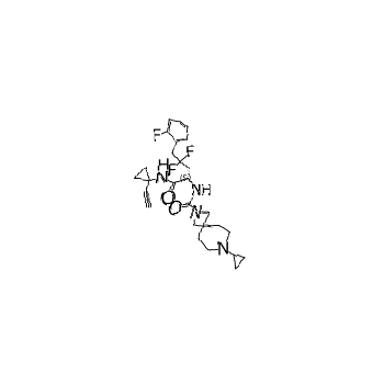 C#CC1(NC(=O)[C@H](CC(F)(F)Cc2ccccc2F)NC(=O)N2CC3(CCN(C4CC4)CC3)C2)CC1